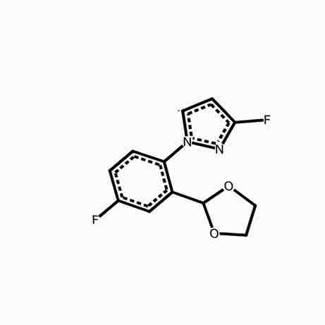 Fc1ccc(-n2[c]cc(F)n2)c(C2OCCO2)c1